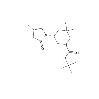 CC1CC(=O)N([C@H]2CN(C(=O)OC(C)(C)C)CC(F)(F)C2)C1